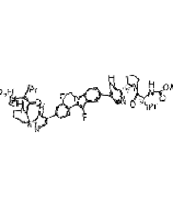 COC(=O)N[C@H](C(=O)N1CCC[C@H]1c1ncc(-c2ccc3c(c2)c(F)c2n3COc3cc(-c4cnc([C@@H]5CCCN5C(=O)[C@H](C(C)C)N(C)C(=O)O)[nH]4)ccc3-2)[nH]1)C(C)C